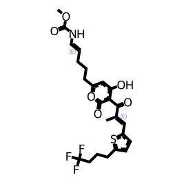 COC(=O)N/C=C/CCCc1cc(O)c(C(=O)/C(C)=C/c2ccc(CCCC(F)(F)F)s2)c(=O)o1